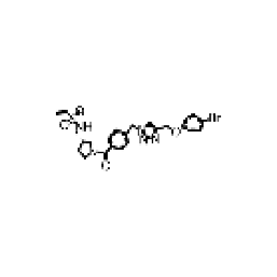 C=CS(=O)(=O)NC[C@H]1CCN(C(=O)c2ccc(Cn3cc(COc4ccc(Br)cc4)nn3)cc2)C1